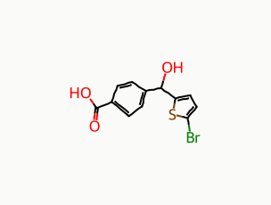 O=C(O)c1ccc(C(O)c2ccc(Br)s2)cc1